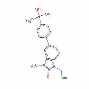 Cn1c(=O)n(CC(C)(C)C)c2ccc(-c3ccc(C(C)(C)O)cc3)cc21